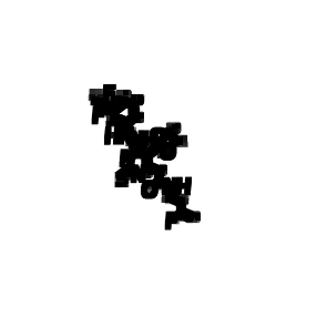 C=C(F)CCNC(=O)Cc1nc(C)nc(NNc2cccc(C(C)(F)F)c2)c1C1OCCO1